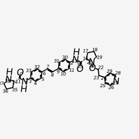 O=C(Nc1ccc(/C=C/c2ccc(NC(=O)[C@@H]3CCCN3OCCc3ccncc3)cc2)cc1)[C@@H]1CCCN1